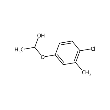 Cc1cc(OC(C)O)ccc1Cl